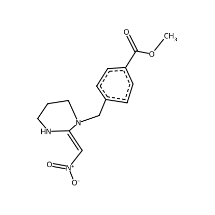 COC(=O)c1ccc(CN2CCCNC2=C[N+](=O)[O-])cc1